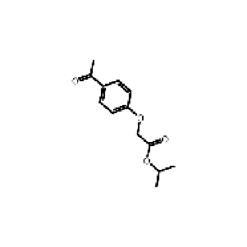 CC(=O)c1ccc(OCC(=O)OC(C)C)cc1